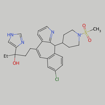 CCC(O)(CCC1=Cc2cc(Cl)ccc2C(C2CCN(S(C)(=O)=O)CC2)c2ncccc21)c1c[nH]cn1